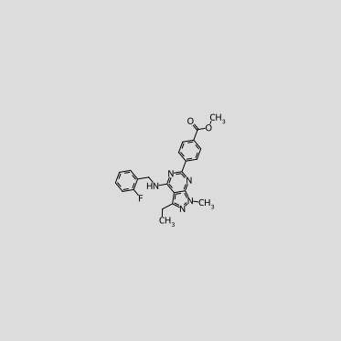 CCc1nn(C)c2nc(-c3ccc(C(=O)OC)cc3)nc(NCc3ccccc3F)c12